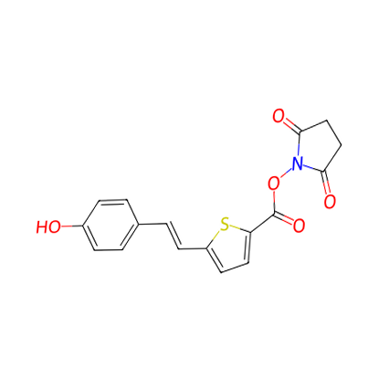 O=C(ON1C(=O)CCC1=O)c1ccc(/C=C/c2ccc(O)cc2)s1